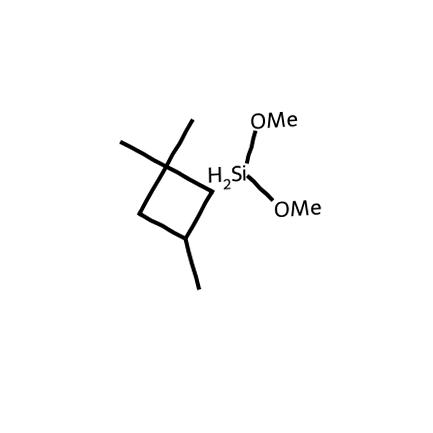 CC1CC(C)(C)C1.CO[SiH2]OC